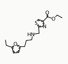 CCOC(=O)c1csc(CNCCCc2ccc(CC)o2)n1